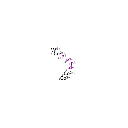 [Co+2].[Co+2].[Co+2].[P-3].[P-3].[P-3].[P-3].[W+6]